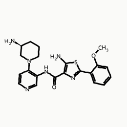 COc1ccccc1-c1nc(C(=O)Nc2cnccc2N2CCC[C@H](N)C2)c(N)s1